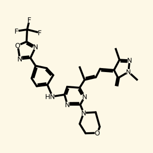 C=c1/c(=C\C=C(/C)c2cc(Nc3ccc(-c4noc(C(F)(F)F)n4)cc3)nc(N3CCOCC3)n2)c(C)nn1C